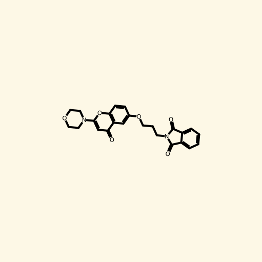 O=C1c2ccccc2C(=O)N1CCCOc1ccc2oc(N3CCOCC3)cc(=O)c2c1